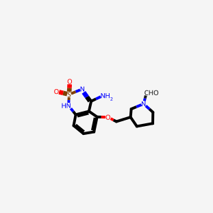 NC1=NS(=O)(=O)Nc2cccc(OCC3CCCN(C=O)C3)c21